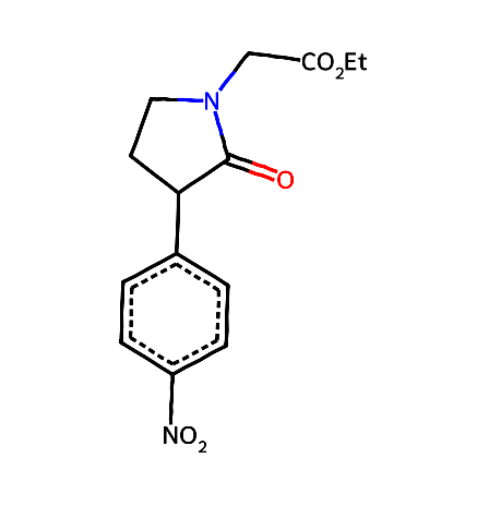 CCOC(=O)CN1CCC(c2ccc([N+](=O)[O-])cc2)C1=O